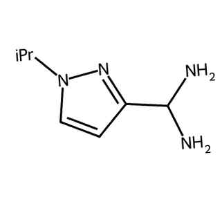 CC(C)n1ccc(C(N)N)n1